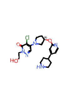 O=c1c(Cl)c(N2CC[C@@H](Oc3cc(C4CCNCC4)ccn3)C2)cnn1CCO